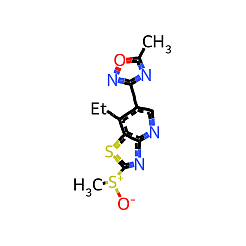 CCc1c(-c2noc(C)n2)cnc2nc([S+](C)[O-])sc12